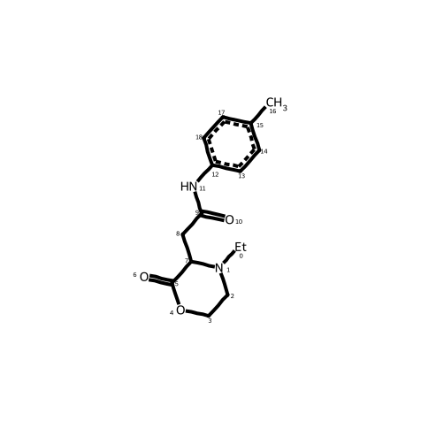 CCN1CCOC(=O)C1CC(=O)Nc1ccc(C)cc1